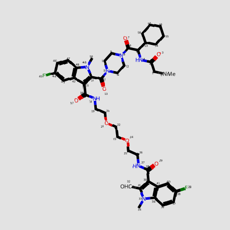 CNCC(=O)NC(C(=O)N1CCN(C(=O)c2c(C(=O)NCCOCCOCCNC(=O)c3c(C=O)n(C)c4ccc(F)cc34)c3cc(F)ccc3n2C)CC1)C1CCCCC1